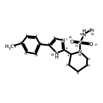 Cc1ccc(-c2cnc(C3CCCCN3S(=O)(=O)NC(C)C)[nH]2)cc1